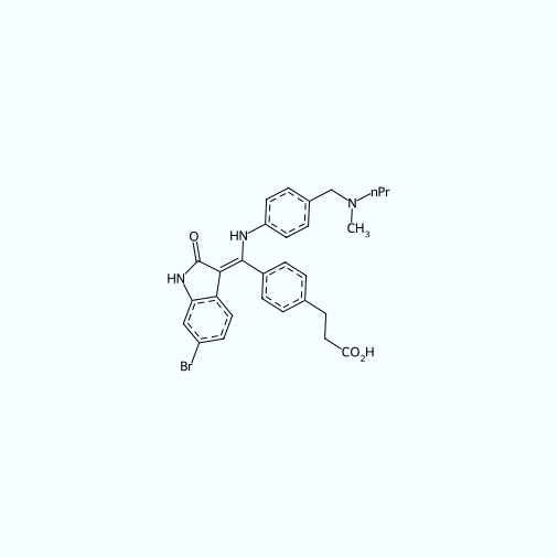 CCCN(C)Cc1ccc(N/C(=C2\C(=O)Nc3cc(Br)ccc32)c2ccc(CCC(=O)O)cc2)cc1